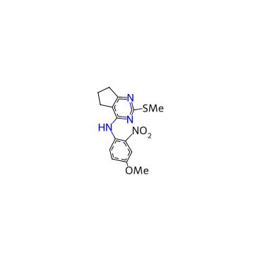 COc1ccc(Nc2nc(SC)nc3c2CCC3)c([N+](=O)[O-])c1